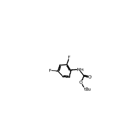 CC(C)(C)OC(=O)Nc1ccc(F)cc1F